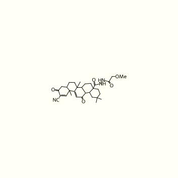 COCC(=O)NNC(=O)C12CCC3C(C(=O)C=C4C5(C)C=C(C#N)C(=O)CC5CCC43C)C1CC(C)(C)CC2